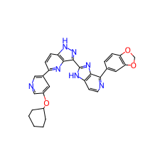 c1cc2[nH]c(-c3n[nH]c4ccc(-c5cncc(OC6CCCCC6)c5)nc34)nc2c(-c2ccc3c(c2)OCO3)n1